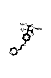 COC(=O)[C@@](N)(C(=O)OC(C)(C)C)c1ccc(OCCN2CCOCC2)cc1